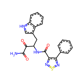 NC(=O)C(=O)C(Cc1c[nH]c2ccccc12)NC(=O)c1nsnc1-c1ccccc1